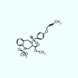 CC#CCOc1ccc(S(=O)(=O)N2Cc3ccccc3N(S(C)(=O)=O)CC2C(=O)OC)cc1